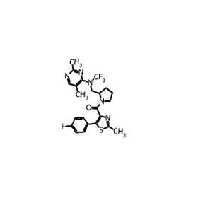 Cc1ncc(C)c(N(CC2CCCN2C(=O)c2nc(C)sc2-c2ccc(F)cc2)C(F)(F)F)n1